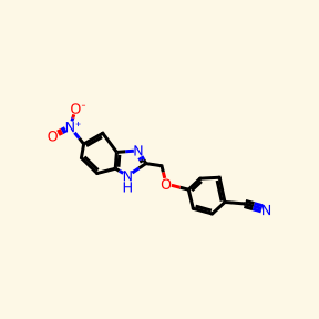 N#Cc1ccc(OCc2nc3cc([N+](=O)[O-])ccc3[nH]2)cc1